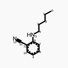 CCCCCNc1ccccc1C#N